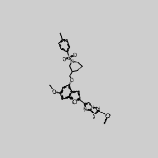 COc1cc(OCC2CCCN(S(=O)(=O)c3ccc(C)cc3)C2)c2cc(-c3cn4nc(OC)sc4n3)oc2c1